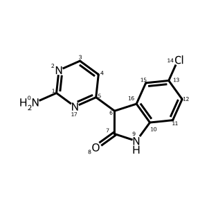 Nc1nccc(C2C(=O)Nc3ccc(Cl)cc32)n1